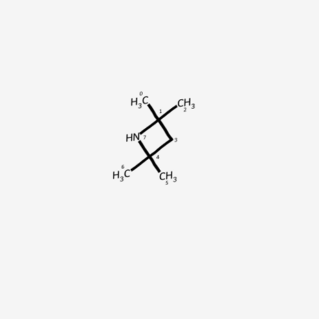 CC1(C)CC(C)(C)N1